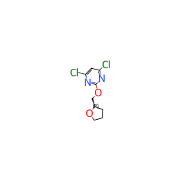 Clc1cc(Cl)nc(OC[C@H]2CCCO2)n1